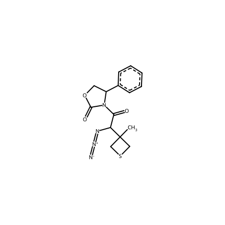 CC1(C(N=[N+]=[N-])C(=O)N2C(=O)OCC2c2ccccc2)CSC1